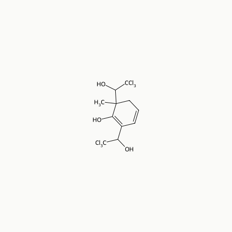 CC1(C(O)C(Cl)(Cl)Cl)CC=CC(C(O)C(Cl)(Cl)Cl)=C1O